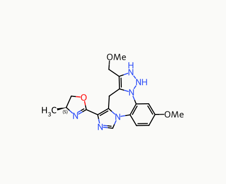 COCC1=C2Cc3c(C4=N[C@@H](C)CO4)ncn3-c3ccc(OC)cc3N2NN1